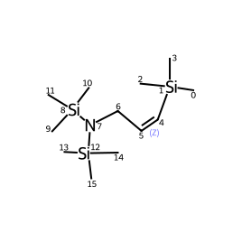 C[Si](C)(C)/C=C\CN([Si](C)(C)C)[Si](C)(C)C